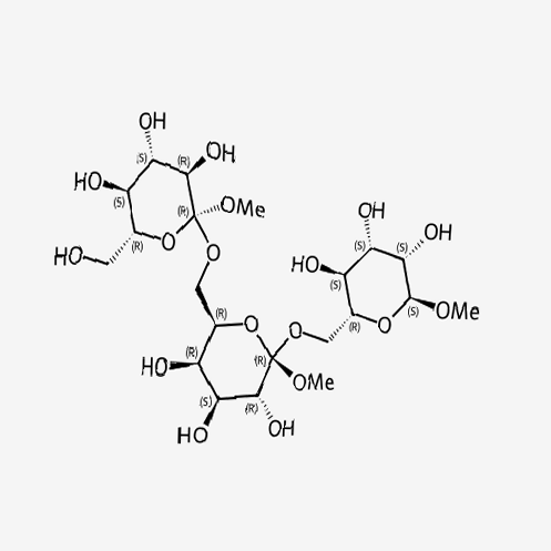 CO[C@H]1O[C@H](CO[C@@]2(OC)O[C@H](CO[C@@]3(OC)O[C@H](CO)[C@@H](O)[C@H](O)[C@H]3O)[C@H](O)[C@H](O)[C@H]2O)[C@@H](O)[C@H](O)[C@@H]1O